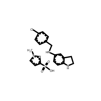 Clc1ccc(CNc2ccc3c(c2)CCN3)cc1.Cn1ccc(S(=O)(=O)O)n1